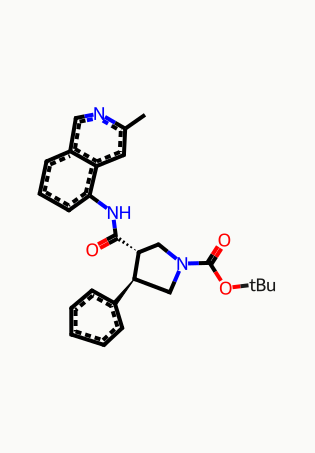 Cc1cc2c(NC(=O)[C@@H]3CN(C(=O)OC(C)(C)C)C[C@H]3c3ccccc3)cccc2cn1